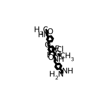 CCO[C@H](C(=O)NCc1ccc(C(=N)N)cc1)c1c(F)cc(Oc2cccc(NC(C)=O)c2)cc1F.Cl